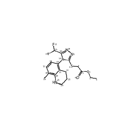 CCOC(=O)CSc1nnc(C(F)F)n1-c1ccc(C)c2c1CCCN2